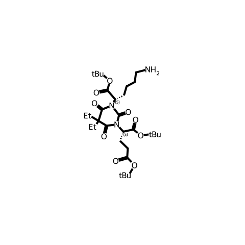 CCC1(CC)C(=O)N([C@@H](CCCCN)C(=O)OC(C)(C)C)C(=O)N([C@@H](CCC(=O)OC(C)(C)C)C(=O)OC(C)(C)C)C1=O